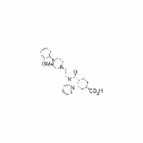 COc1ccccc1N1CCN(CCN(c2ccccn2)C(=O)[C@H]2CC[C@H](C(=O)O)CC2)CC1